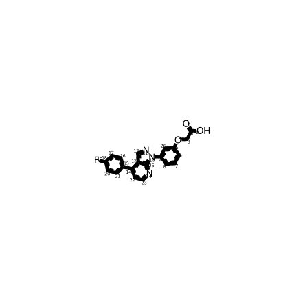 O=C(O)COc1cccc(-n2ncc3c(-c4ccc(F)cc4)ccnc32)c1